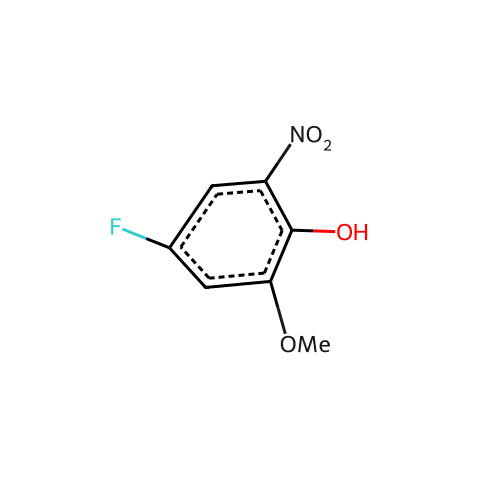 COc1cc(F)cc([N+](=O)[O-])c1O